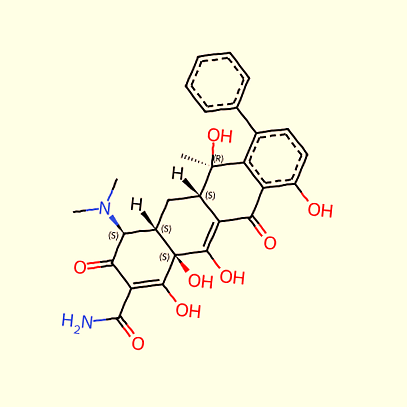 CN(C)[C@@H]1C(=O)C(C(N)=O)=C(O)[C@@]2(O)C(O)=C3C(=O)c4c(O)ccc(-c5ccccc5)c4[C@](C)(O)[C@H]3C[C@@H]12